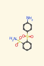 Nc1ccc(S(=O)(=O)c2ccccc2S(N)(=O)=O)cc1